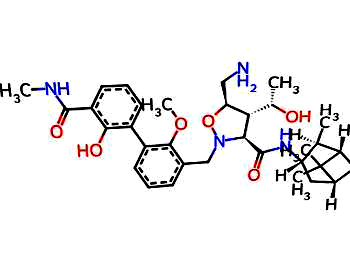 CNC(=O)c1cccc(-c2cccc(CN3O[C@@H](CN)[C@H]([C@H](C)O)[C@H]3C(=O)N[C@H]3C[C@H]4C[C@@H]([C@@H]3C)C4(C)C)c2OC)c1O